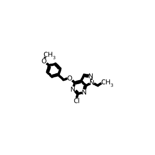 CCn1ncc2c(OCc3ccc(OC)cc3)nc(Cl)nc21